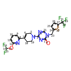 O=c1nc(N2CC=C(c3cccc(OC(F)F)n3)CC2)ncn1Cc1ccc(C(F)(F)F)s1